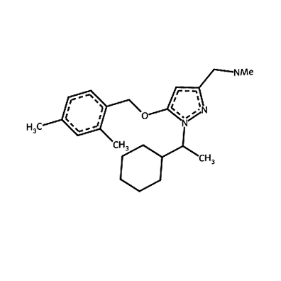 CNCc1cc(OCc2ccc(C)cc2C)n(C(C)C2CCCCC2)n1